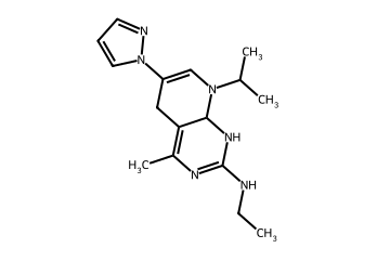 CCNC1=NC(C)=C2CC(n3cccn3)=CN(C(C)C)C2N1